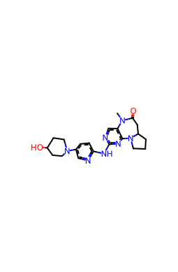 CN1C(=O)CC2CCCN2c2nc(Nc3ccc(N4CCC(O)CC4)cn3)ncc21